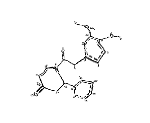 COc1ccc(CC(=O)N2C=CC(=O)CC2c2ccccc2)cc1OC